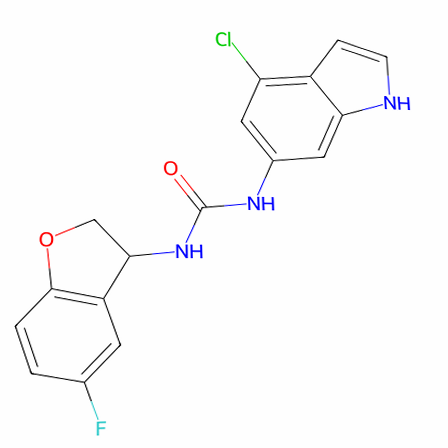 O=C(Nc1cc(Cl)c2cc[nH]c2c1)NC1COc2ccc(F)cc21